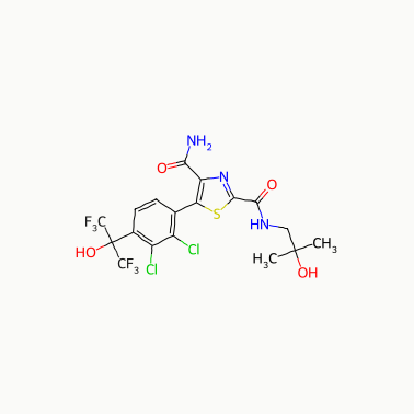 CC(C)(O)CNC(=O)c1nc(C(N)=O)c(-c2ccc(C(O)(C(F)(F)F)C(F)(F)F)c(Cl)c2Cl)s1